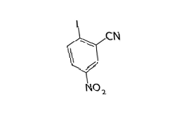 N#Cc1cc([N+](=O)[O-])ccc1I